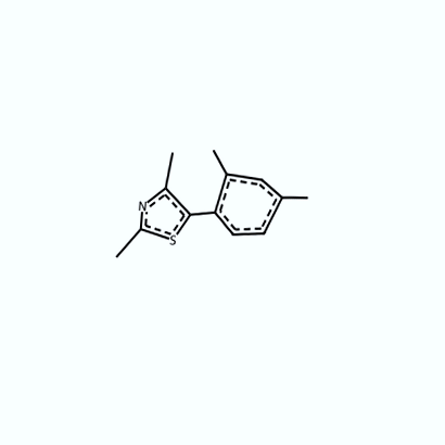 Cc1ccc(-c2sc(C)nc2C)c(C)c1